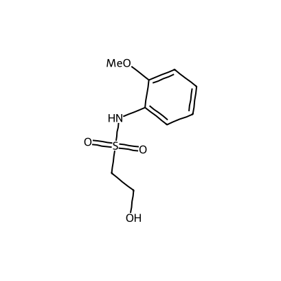 COc1ccccc1NS(=O)(=O)CCO